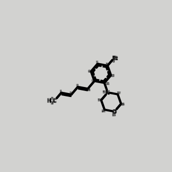 C/C=C/C=C/c1ccc(CC)cc1N1CCOCC1